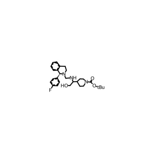 CC(C)(C)OC(=O)N1CCC(C(CO)NCN2CCc3ccccc3[C@@H]2c2ccc(F)cc2)CC1